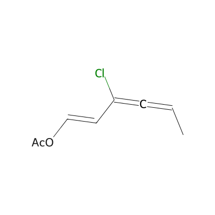 CC=C=C(Cl)C=COC(C)=O